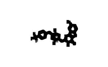 O=c1[nH]c(CN2C[C@@H]3C[C@H]2CN3Cc2ccc(C(F)(F)F)cc2)nc2c1oc1ccc(Br)cc12